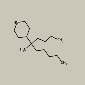 CCCCCC(C)(CCCC)C1CCNCC1